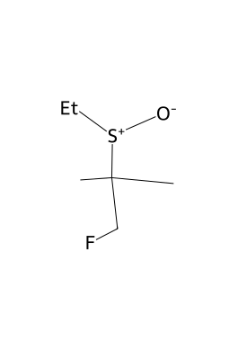 CC[S+]([O-])C(C)(C)CF